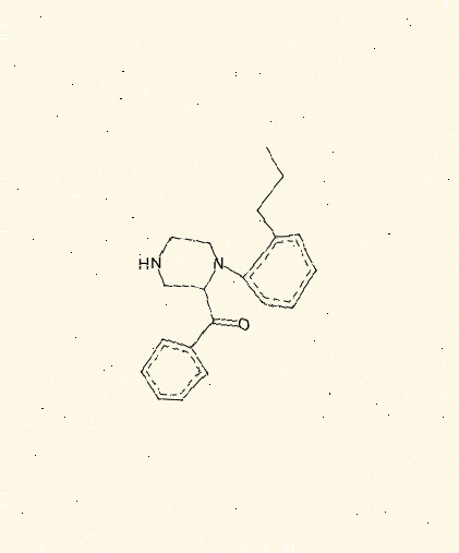 CCCc1ccccc1N1CCNCC1C(=O)c1ccccc1